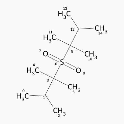 CC(C)C(C)(C)S(=O)(=O)C(C)(C)C(C)C